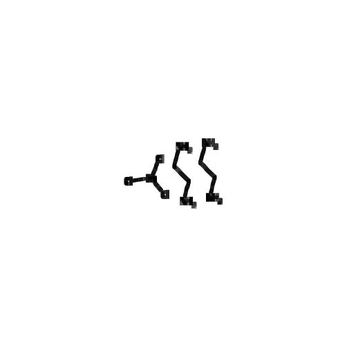 NCCN.NCCN.[Cl][Rh]([Cl])[Cl]